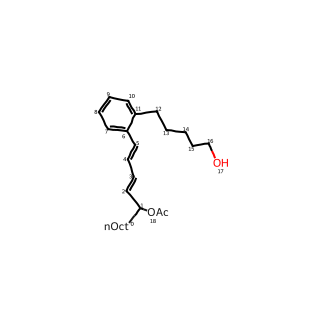 CCCCCCCCC(/C=C/C=C/c1ccccc1CCCCCO)OC(C)=O